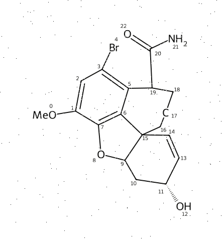 COc1cc(Br)c2c3c1OC1C[C@@H](O)C=CC31CCCC2C(N)=O